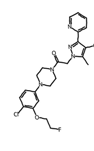 Cc1c(Cl)c(-c2ccccn2)nn1CC(=O)N1CCN(c2ccc(Cl)c(OCCF)c2)CC1